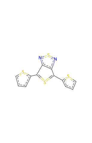 c1csc(C2=S=C(c3cccs3)c3nsnc32)c1